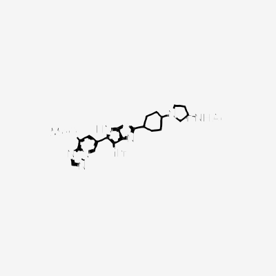 COc1cc(-c2[nH]c3sc(C4CCC(N5CC[C@@H](NC(C)=O)C5)CC4)nc3c2C(C)C)cn2ncnc12